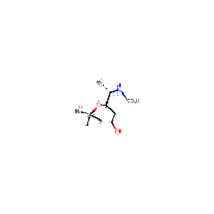 CC(C)[C@H](NC(=O)O)C(CCO)O[Si](C)(C)C(C)(C)C